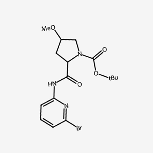 COC1CC(C(=O)Nc2cccc(Br)n2)N(C(=O)OC(C)(C)C)C1